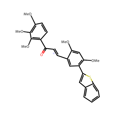 COc1cc(OC)c(-c2cc3ccccc3s2)cc1/C=C/C(=O)c1ccc(OC)c(OC)c1OC